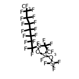 FC(F)(F)C(F)(F)C(F)(F)C(F)(F)C(F)(F)C(F)(F)C(F)(F)C(F)(F)[Si](F)(O[Si](F)(F)O[Si](F)(F)F)C(F)(F)C(F)(F)F